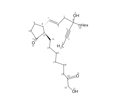 CC#CC(O)(C/C=C/[C@H]1CCC(=O)[C@@H]1CCCCCCC(=O)CO)CCCCCC